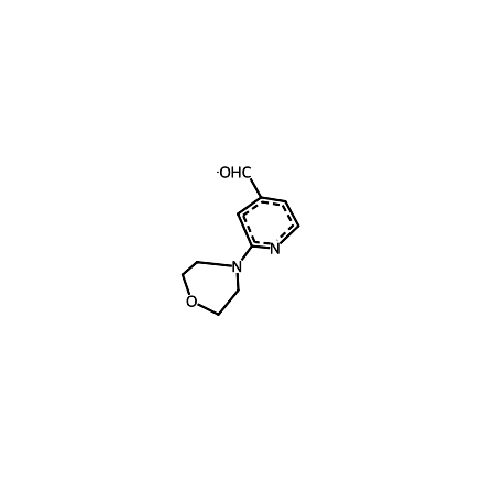 O=[C]c1ccnc(N2CCOCC2)c1